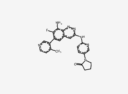 Cc1ccncc1-c1cc2cc(Nc3ccc(N4CCCC4=O)cn3)nnc2c(N)c1F